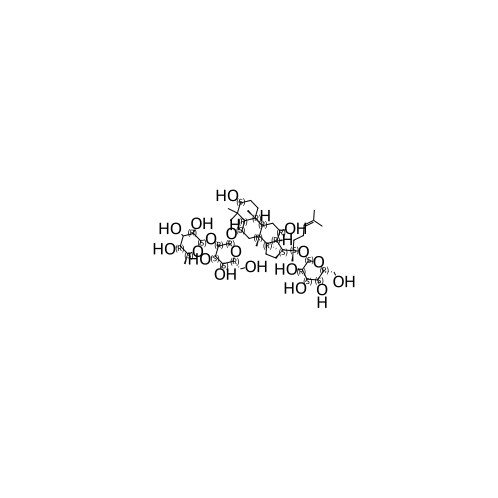 CC(C)=CCC[C@](C)(O[C@@H]1O[C@H](CO)[C@@H](O)[C@H](O)[C@H]1O)[C@H]1CC[C@]2(C)[C@@H]1[C@H](O)C[C@@H]1[C@@]3(C)CC[C@H](O)C(C)(C)[C@@H]3[C@@H](O[C@@H]3O[C@H](CO)[C@@H](O)[C@H](O)[C@H]3O[C@@H]3O[C@@H](C)[C@H](O)C(O)[C@H]3O)C[C@]12C